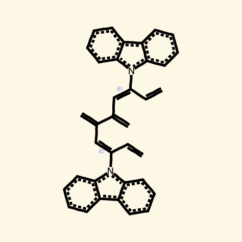 C=C/C(=C\C(=C)C(=C)/C=C(\C=C)n1c2ccccc2c2ccccc21)n1c2ccccc2c2ccccc21